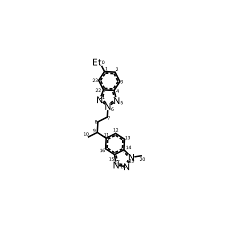 CCc1ccc2nn(CCC(C)c3ccc4c(c3)nnn4C)nc2c1